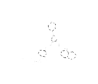 CCC(Oc1ccc(SCc2cc(-c3ccc(C(F)(F)F)cc3)oc2CSc2ccc3ccccc3n2)cc1C)C(=O)O